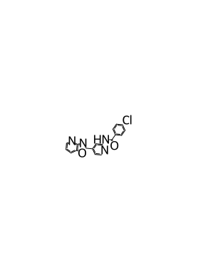 O=C(Nc1cc(-c2nc3ncccc3o2)ccn1)c1ccc(Cl)cc1